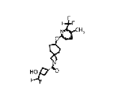 Cc1ccc(OC2CCC3(CC2)CN(C(=O)[C@H]2C[C@](O)(C(F)F)C2)C3)nc1C(F)(F)F